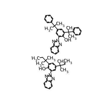 CC(C)(c1ccccc1)c1cc(-n2nc3ccccc3n2)c(O)c(C(C)(C)c2ccccc2)c1.CCC(C)(C)c1cc(-n2nc3ccccc3n2)c(O)c(C(C)(C)CC)c1